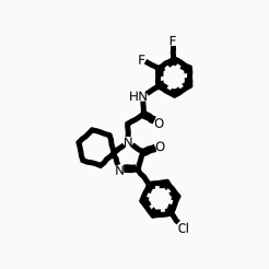 O=C(CN1C(=O)C(c2ccc(Cl)cc2)=NC12CCCCC2)Nc1cccc(F)c1F